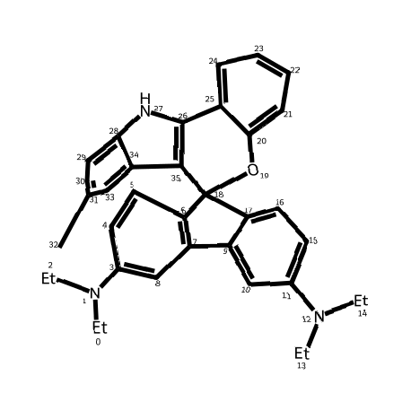 CCN(CC)c1ccc2c(c1)-c1cc(N(CC)CC)ccc1C21Oc2ccccc2-c2[nH]c3ccc(C)cc3c21